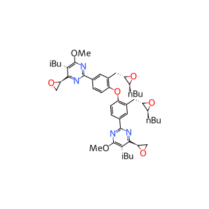 CCCC[C@@H]1O[C@H]1Cc1cc(-c2nc(OC)c([C@@H](C)CC)c([C@H]3CO3)n2)ccc1Oc1ccc(-c2nc(OC)c([C@@H](C)CC)c([C@H]3CO3)n2)cc1C[C@@H]1O[C@H]1CCCC